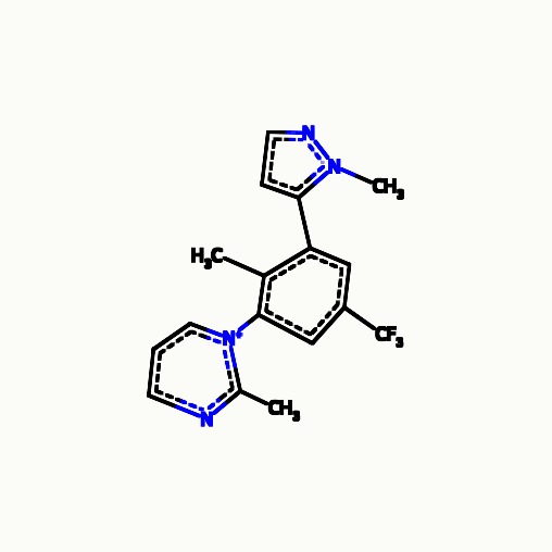 Cc1c(-c2ccnn2C)cc(C(F)(F)F)cc1-[n+]1cccnc1C